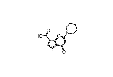 O=C(O)c1csc2c(=O)cc(N3CCCCC3)oc12